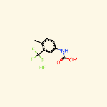 Cc1ccc(NC(=O)O)cc1C(F)(F)F.F